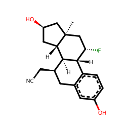 C[C@@]12C[C@H](O)C[C@H]1[C@@H]1[C@H](CC#N)Cc3cc(O)ccc3[C@H]1[C@@H](F)C2